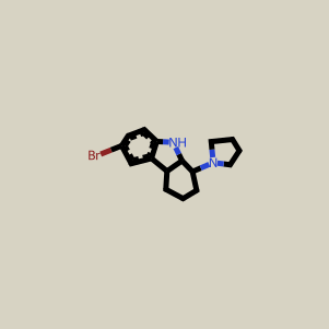 Brc1ccc2c(c1)C1CCCC(N3CCCC3)C1N2